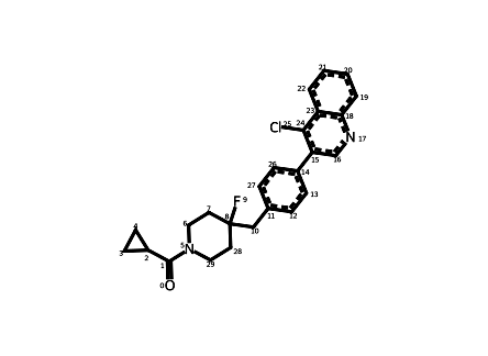 O=C(C1CC1)N1CCC(F)(Cc2ccc(-c3cnc4ccccc4c3Cl)cc2)CC1